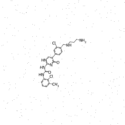 Cc1cccc(NC(=O)Nc2nc(=O)c(-c3ccc(CNCCCN)c(Cl)c3)c[nH]2)c1Cl